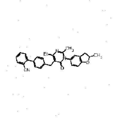 CCc1nc(C)n(-c2ccc3c(c2)CC(C)O3)c(=O)c1Cc1ccc(-c2ccccc2C#N)cc1